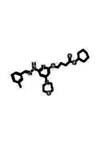 Cc1cccc(C=NNc2cc(N3CCOCC3)cc(OCCCC(=O)OC3CCCCC3)n2)c1